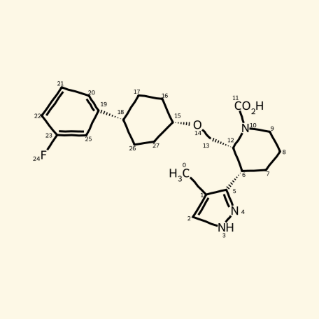 Cc1c[nH]nc1[C@H]1CCCN(C(=O)O)[C@H]1CO[C@H]1CC[C@@H](c2cccc(F)c2)CC1